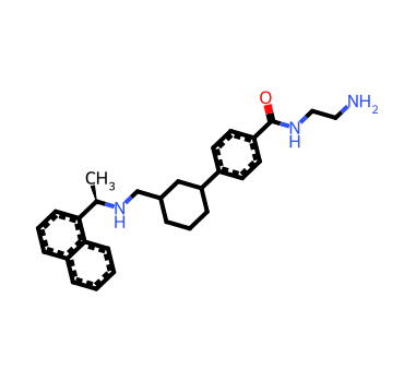 C[C@@H](NCC1CCCC(c2ccc(C(=O)NCCN)cc2)C1)c1cccc2ccccc12